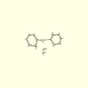 [O-2].[O-2].c1cc[c]([Cr+4][c]2ccccn2)nc1